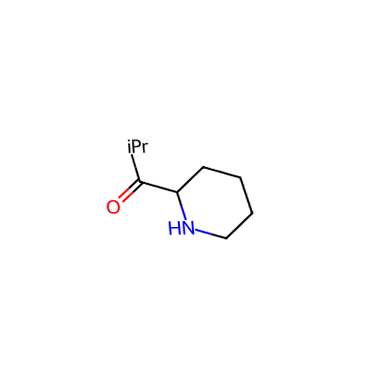 CC(C)C(=O)C1CCCCN1